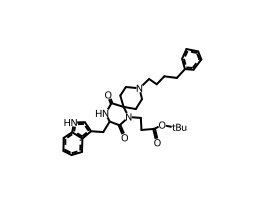 CC(C)(C)OC(=O)CCN1C(=O)C(Cc2c[nH]c3ccccc23)NC(=O)C12CCN(CCCCc1ccccc1)CC2